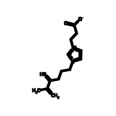 C=C(C)C(=N)CCCn1cc[n+](CCC(=O)[O-])c1